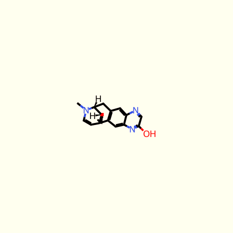 CN1C=C[C@]23CCCC[C@H]2[C@H]1Cc1cc2ncc(O)nc2cc13